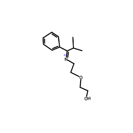 CC(C)/C(=N\CCOCCO)c1ccccc1